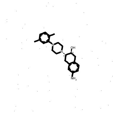 Cc1ccc(C)c(N2CCN([C@H]3Cc4cc(N)ccc4C[C@@H]3O)CC2)c1